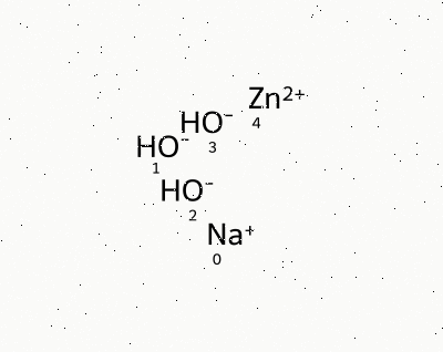 [Na+].[OH-].[OH-].[OH-].[Zn+2]